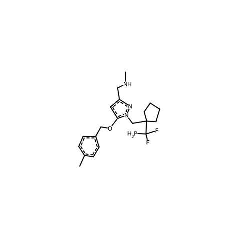 CNCc1cc(OCc2ccc(C)cc2)n(CC2(C(F)(F)P)CCCC2)n1